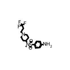 CN(C1CCN(CCC(F)(F)F)CC1)S(=O)(=O)c1ccc(N)cc1